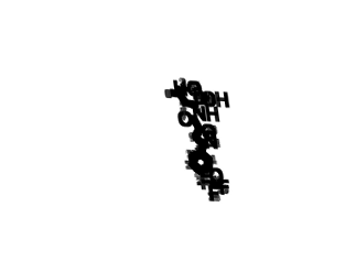 CC(C)CC(NC(=O)C1CC(c2cccc(OC(F)(F)F)c2)=NO1)B(O)O